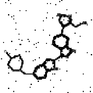 NCc1n[nH]nc1-c1ccc2c(-c3cc4cc(CN5CCC(F)CC5)ccc4[nH]3)n[nH]c2c1